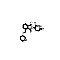 O=C1CCC(N2C(=O)c3cccc(CO[C@H]4CCCNC4)c3C2=O)C(=O)N1